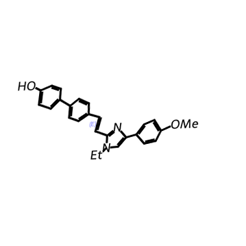 CCn1cc(-c2ccc(OC)cc2)nc1/C=C/c1ccc(-c2ccc(O)cc2)cc1